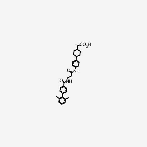 Cc1cccc(C)c1-c1ccc(C(=O)NCCC(=O)Nc2ccc(C3CCC(CC(=O)O)CC3)cc2)cc1